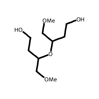 COCC(CCO)OC(CCO)COC